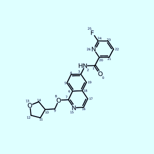 O=C(Nc1ccc2c(OCC3CCOC3)nccc2c1)c1cccc(F)n1